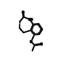 CC(=O)Oc1cccc2c1CCCC(=O)N2